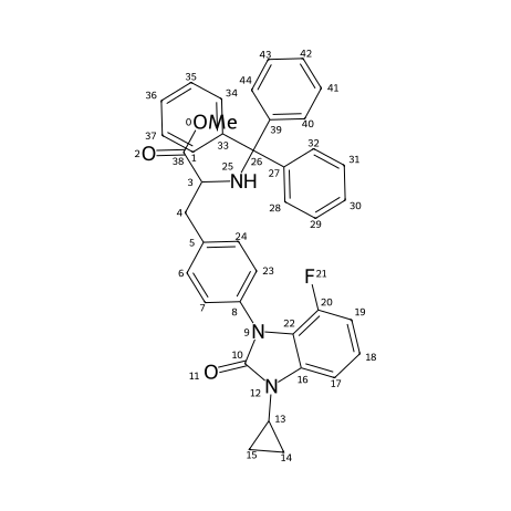 COC(=O)C(Cc1ccc(-n2c(=O)n(C3CC3)c3cccc(F)c32)cc1)NC(c1ccccc1)(c1ccccc1)c1ccccc1